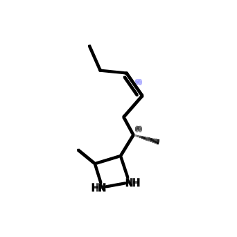 CC/C=C\C[C@H](C)C1NNC1C